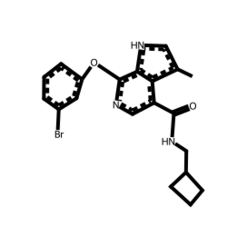 Cc1c[nH]c2c(Oc3cccc(Br)c3)ncc(C(=O)NCC3CCC3)c12